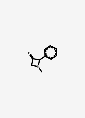 CN1CC(=O)C1c1ccccc1